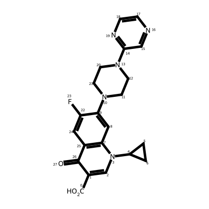 O=C(O)c1cn(C2CC2)c2cc(N3CCN(c4cnccn4)CC3)c(F)cc2c1=O